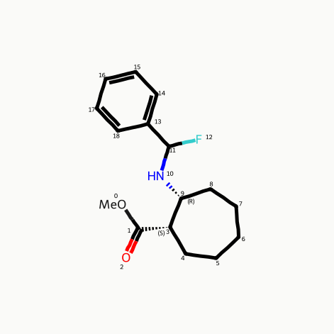 COC(=O)[C@H]1CCCCC[C@H]1NC(F)c1ccccc1